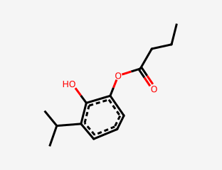 CCCC(=O)Oc1cccc(C(C)C)c1O